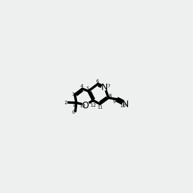 CC1(C)C=Cc2cnc(C#N)cc2O1